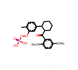 COc1ccc(OC)c(C(=O)C2CCCCC2c2ccc(C)c(OOP(=O)(O)O)c2)c1